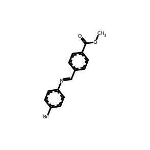 COC(=O)c1ccc(C=Nc2ccc(Br)cc2)cc1